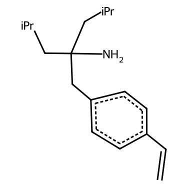 C=Cc1ccc(CC(N)(CC(C)C)CC(C)C)cc1